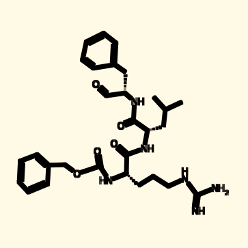 CC(C)C[C@H](NC(=O)[C@H](CCCNC(=N)N)NC(=O)OCc1ccccc1)C(=O)N[C@H](C=O)Cc1ccccc1